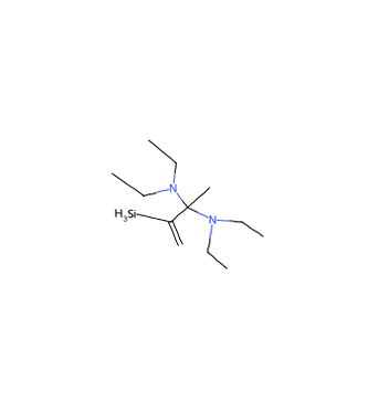 C=C([SiH3])C(C)(N(CC)CC)N(CC)CC